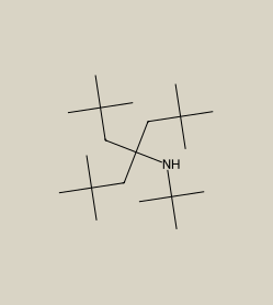 CC(C)(C)CC(CC(C)(C)C)(CC(C)(C)C)NC(C)(C)C